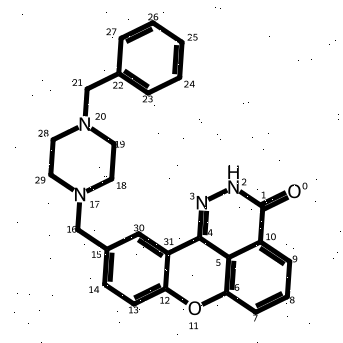 O=c1[nH]nc2c3c(cccc13)Oc1ccc(CN3CCN(Cc4ccccc4)CC3)cc1-2